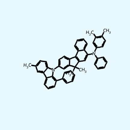 Cc1ccc2c(c1)c1cccc(-c3ccccc3)c1n2-c1ccc2c(c1)C(C)(C)c1cc(N(c3ccccc3)c3ccc(C)c(C)c3)c3ccccc3c1-2